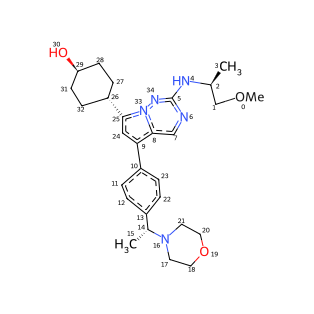 COC[C@H](C)Nc1ncc2c(-c3ccc([C@@H](C)N4CCOCC4)cc3)cc([C@H]3CC[C@H](O)CC3)n2n1